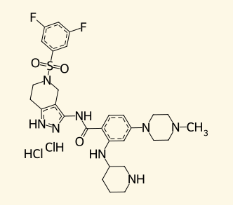 CN1CCN(c2ccc(C(=O)Nc3n[nH]c4c3CN(S(=O)(=O)c3cc(F)cc(F)c3)CC4)c(NC3CCCNC3)c2)CC1.Cl.Cl